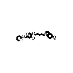 COc1ccc2c(ccn2CCCCCOc2coc(COC3CCCCO3)cc2=O)c1